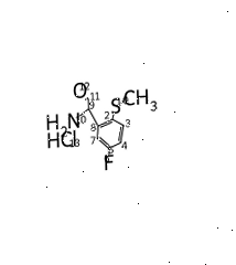 CSc1ccc(F)cc1C(N)C=O.Cl